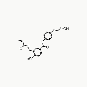 C=CC(=O)OCc1cc(C(=O)Oc2ccc(CCCO)cc2)ccc1CCC